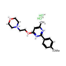 COc1ccc(-c2nc(C)cc(OCCN3CCOCC3)n2)cc1.Cl.Cl